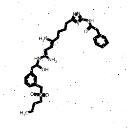 CCCCS(=O)(=O)Cc1cccc(CC(O)N/C(N)=C/C=C(\N)CCCCc2nnc(NC(=O)Cc3ccccc3)s2)c1